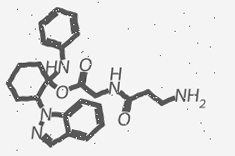 NCCC(=O)NCC(=O)OC1(Nc2ccccc2)CCCCC1n1ncc2ccccc21